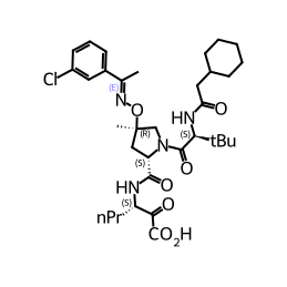 CCC[C@H](NC(=O)[C@@H]1C[C@@](C)(O/N=C(\C)c2cccc(Cl)c2)CN1C(=O)[C@@H](NC(=O)CC1CCCCC1)C(C)(C)C)C(=O)C(=O)O